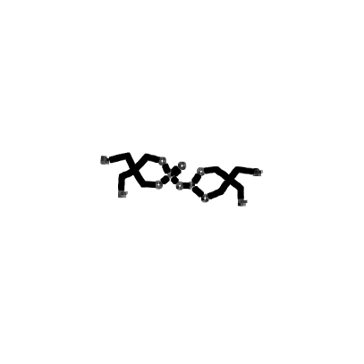 O=P1(OP2OCC(CBr)(CBr)CO2)OCC(CBr)(CBr)CO1